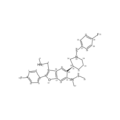 CNCc1c(-c2ccc(F)cc2)oc2cc(N(C)SC)c([C@@H]3CCCN(Sc4ccc(F)cc4)C3)cc12